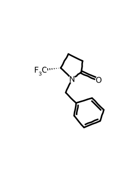 O=C1CC[C@@H](C(F)(F)F)N1Cc1ccccc1